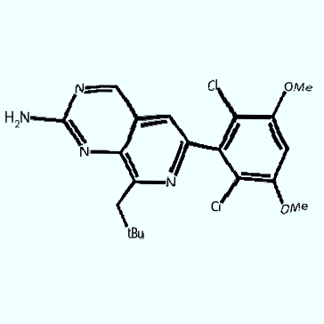 COc1cc(OC)c(Cl)c(-c2cc3cnc(N)nc3c(CC(C)(C)C)n2)c1Cl